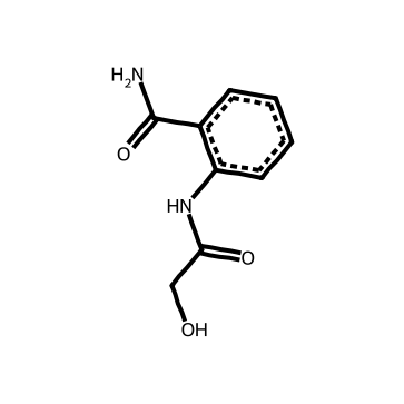 NC(=O)c1ccccc1NC(=O)CO